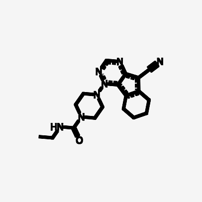 CCNC(=O)N1CCN(n2ncnc3c(C#N)c4c(c2-3)CCCC4)CC1